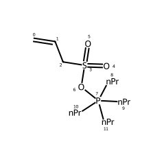 C=CCS(=O)(=O)OP(CCC)(CCC)(CCC)CCC